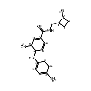 CCN1CC[C@@H]1CNC(=O)C1=CC(N=O)C(SC2=CC=C(N)CC2)C=C1